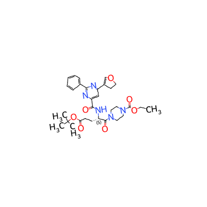 CCOC(=O)N1CCN(C(=O)[C@H](CCC(=O)OC(C)(C)C)NC(=O)c2cc(C3=COCC3)nc(-c3ccccc3)n2)CC1